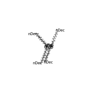 CCCCCCCCCCCCCCCCCCCCCCOP(=O)(CN(C)CP(=O)(OCCCCCCCCCCCCCCCCCCCCCC)OCCCCCCCCCCCCCCCCCCCCCC)OCCCCCCCCCCCCCCCCCCCCCC